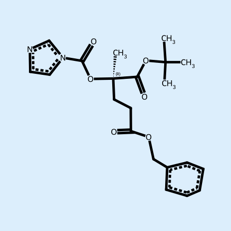 CC(C)(C)OC(=O)[C@@](C)(CCC(=O)OCc1ccccc1)OC(=O)n1ccnc1